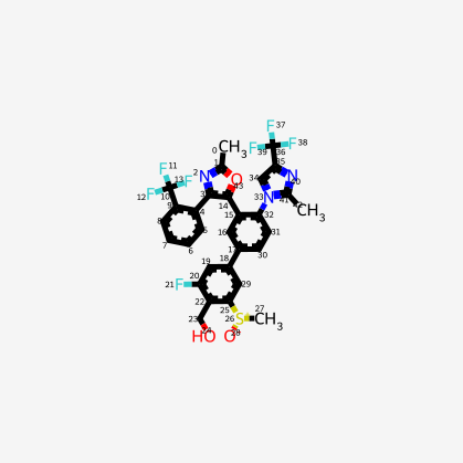 Cc1nc(-c2ccccc2C(F)(F)F)c(-c2cc(-c3cc(F)c(CO)c([S+](C)[O-])c3)ccc2-n2cc(C(F)(F)F)nc2C)o1